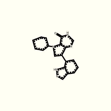 O=c1[nH]cnc2c(-c3cccc4cn[nH]c34)cn(-c3ccccc3)c12